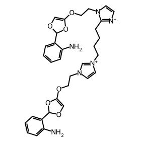 Nc1ccccc1C1OC=C(OCCN2C=C[N+]=C2CCCC[n+]2ccn(CCOC3=COC(c4ccccc4N)O3)c2)O1